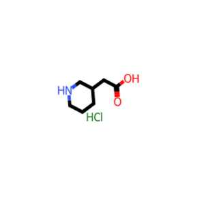 Cl.O=C(O)CC1CCCNC1